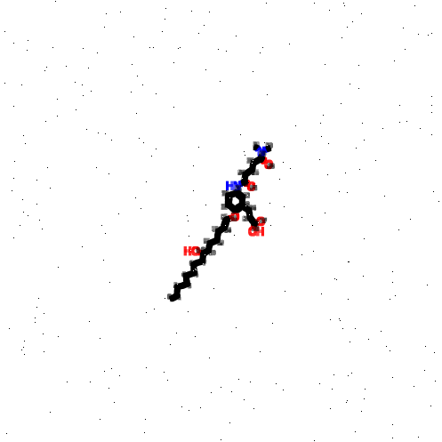 CCCCCCCCC(O)CCCCC=COc1ccc(NC(=O)CCCC(=O)N(C)C)cc1CCC(=O)O